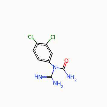 N=C(N)N(C(N)=O)c1ccc(Cl)c(Cl)c1